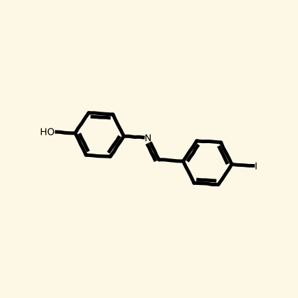 Oc1ccc(N=Cc2ccc(I)cc2)cc1